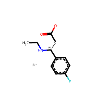 CCN[C@H](CC(=O)[O-])c1ccc(F)cc1.[Li+]